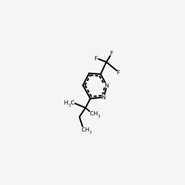 CCC(C)(C)c1ccc(C(F)(F)F)nn1